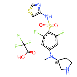 CN(c1cc(F)c(S(=O)(=O)Nc2cscn2)c(F)c1)[C@H]1CCNC1.O=C(O)C(F)(F)F